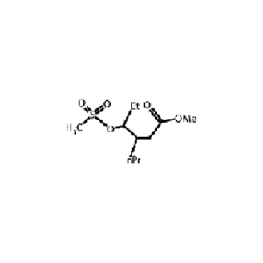 CCCC(CC(=O)OC)C(CC)OS(C)(=O)=O